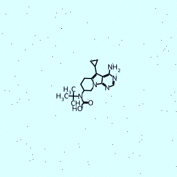 CC(C)(C)N(C(=O)O)C1CCc2c(C3CC3)c3c(N)ncnc3n2C1